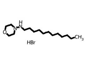 Br.CCCCCCCCCCCCNN1CCOCC1